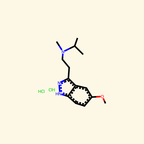 COc1ccc2[nH]nc(CCN(C)C(C)C)c2c1.Cl.Cl